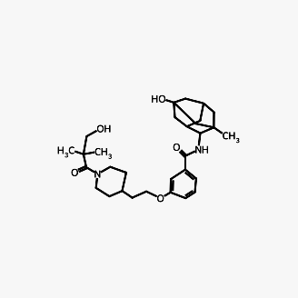 CC(C)(CO)C(=O)N1CCC(CCOc2cccc(C(=O)NC3C4CC5CC(O)(C4)CC3(C)C5)c2)CC1